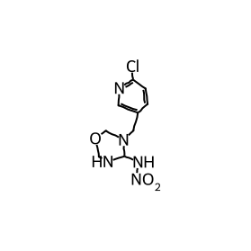 O=[N+]([O-])NC1NCOCN1Cc1ccc(Cl)nc1